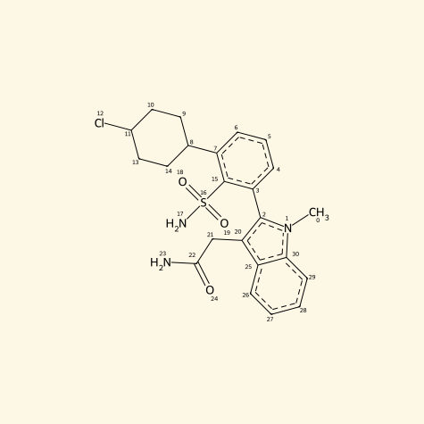 Cn1c(-c2cccc(C3CCC(Cl)CC3)c2S(N)(=O)=O)c(CC(N)=O)c2ccccc21